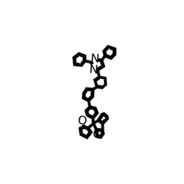 C1=C(c2cccc(-c3ccc4c(c3)Oc3ccccc3C43c4ccccc4-c4ccccc43)c2)C=C(c2cc(-c3ccccc3)nc(-c3ccccc3)n2)CC1